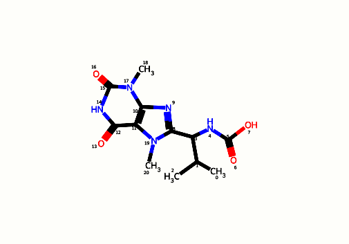 CC(C)C(NC(=O)O)c1nc2c(c(=O)[nH]c(=O)n2C)n1C